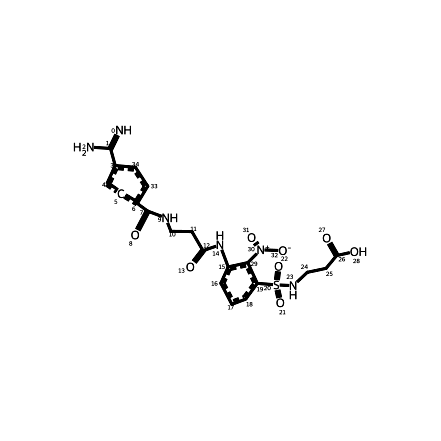 N=C(N)c1ccc(C(=O)NCCC(=O)Nc2cccc(S(=O)(=O)NCCC(=O)O)c2[N+](=O)[O-])cc1